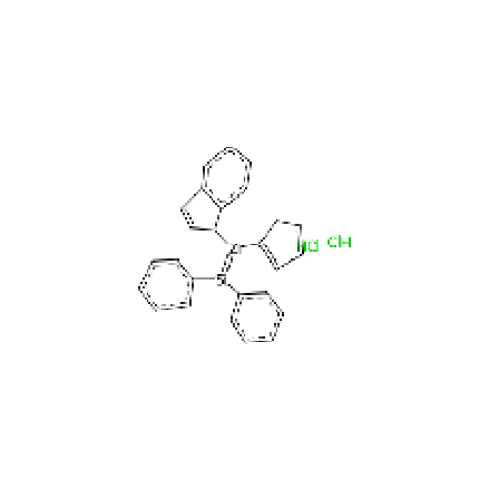 C1=CC[C]([Zr]([CH]2C=Cc3ccccc32)=[Si](c2ccccc2)c2ccccc2)=C1.Cl.Cl